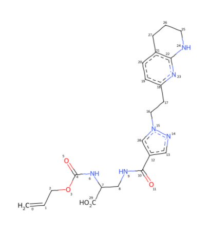 C=CCOC(=O)NC(CNC(=O)c1cnn(CCc2ccc3c(n2)NCCC3)c1)C(=O)O